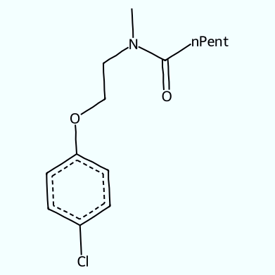 [CH2]CCCCC(=O)N(C)CCOc1ccc(Cl)cc1